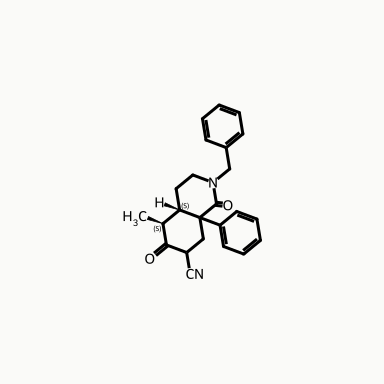 C[C@@H]1C(=O)C(C#N)CC2(c3ccccc3)C(=O)N(Cc3ccccc3)CC[C@@H]12